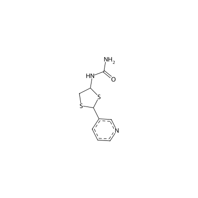 NC(=O)NC1CSC(c2cccnc2)S1